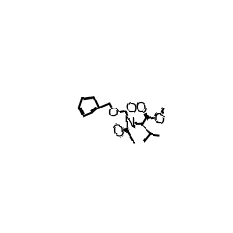 COC(=O)[C@@H](C(C)C)N(C(C)=O)C(=O)OCc1ccccc1